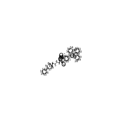 O=C(NCCCCN1CC=C(c2ccccc2)CC1)c1ccc(COC(c2ccccc2)(c2ccccc2)c2ccccc2)cc1[N+](=O)[O-]